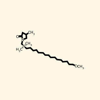 CCCCCCCCCCCCCCCCCC[N+](C)(C)CN1CC(C)CC1=O